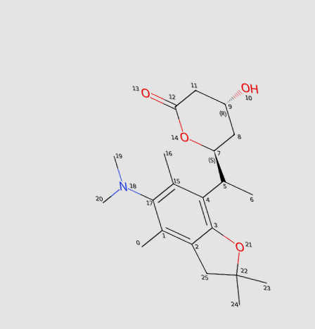 Cc1c2c(c(C(C)[C@@H]3C[C@@H](O)CC(=O)O3)c(C)c1N(C)C)OC(C)(C)C2